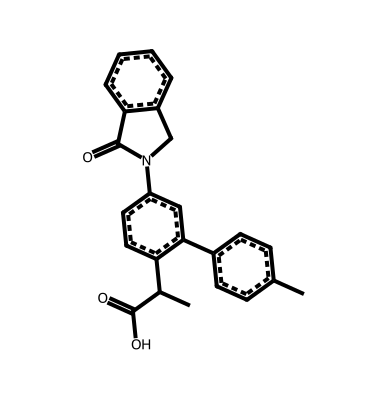 Cc1ccc(-c2cc(N3Cc4ccccc4C3=O)ccc2C(C)C(=O)O)cc1